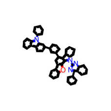 c1ccc(-c2nc(-n3c4ccccc4c4c(-c5cccc(-c6ccc7c8ccccc8n(-c8ccccc8)c7c6)c5)cc5c6ccccc6oc5c43)nc3ccccc23)cc1